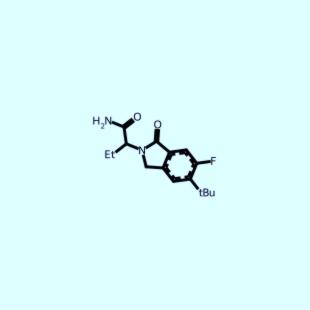 CCC(C(N)=O)N1Cc2cc(C(C)(C)C)c(F)cc2C1=O